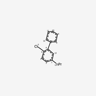 CCCc1ccc(Cl)c(-c2ccccc2)c1